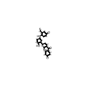 Nc1nc(-c2cc(Nc3ccc(Cl)cc3CF)ccc2O)ccc1C(=O)c1ccc(Cl)cc1